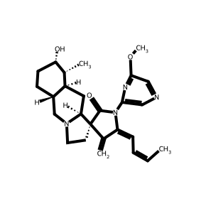 C=C1/C(=C\C=C/C)N(c2cncc(OC)n2)C(=O)[C@@]12CCN1C[C@@H]3CC[C@H](O)[C@H](C)[C@H]3C[C@H]12